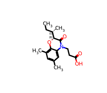 CC[C@H](C)[C@H]1Oc2c(C)cc(C)cc2N(CCC(=O)O)C1=O